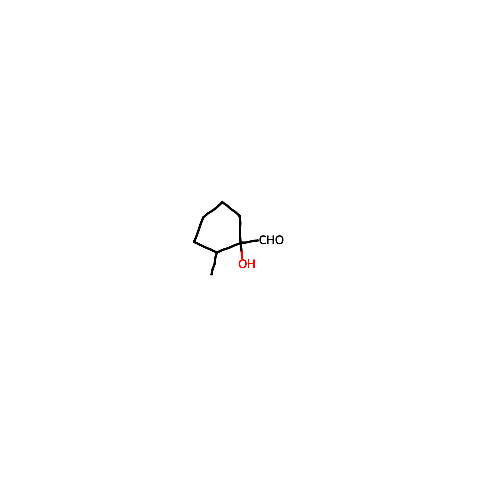 CC1CCCCC1(O)C=O